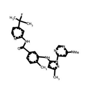 CNc1cc(-n2nc(C)cc2Nc2cc(C(=O)Nc3cc(C(C)(C)F)ccn3)ccc2C)ncn1